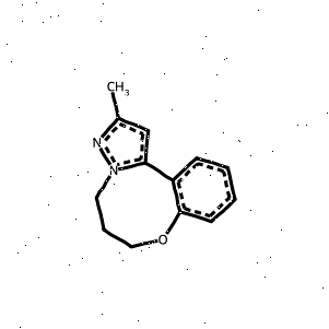 Cc1cc2n(n1)CCCOc1ccccc1-2